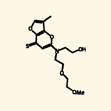 COCCOCCN(CCO)c1cc(=S)c2occ(C)c2o1